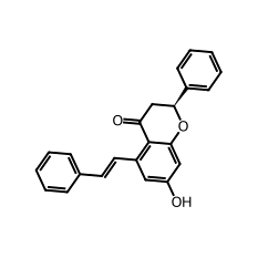 O=C1C[C@@H](c2ccccc2)Oc2cc(O)cc(/C=C/c3ccccc3)c21